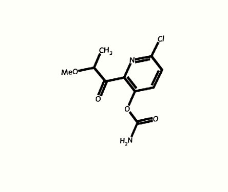 COC(C)C(=O)c1nc(Cl)ccc1OC(N)=O